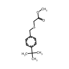 COC(=O)CSCc1ccc(C(C)(C)C)cc1